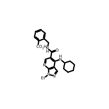 CCn1ncc2c(NC3CCCCC3)c(C(=O)NCc3ccccc3C(=O)O)cnc21